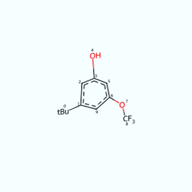 CC(C)(C)c1cc(O)cc(OC(F)(F)F)c1